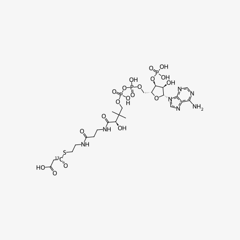 CC(C)(COP(=O)(O)OP(=O)(O)OC[C@H]1O[C@@H](n2cnc3c(N)ncnc32)[C@H](O)[C@@H]1OP(=O)(O)O)[C@@H](O)C(=O)NCCC(=O)NCCS[13C](=O)CC(=O)O